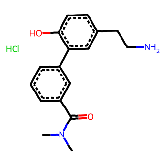 CN(C)C(=O)c1cccc(-c2cc(CCN)ccc2O)c1.Cl